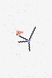 CCCCCCCCCCCC[N+](CCCCCCCC)(CCCCCCCC)CCCCCCCC.CCS(=O)(=O)O